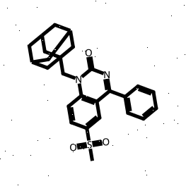 CS(=O)(=O)c1ccc2c(c1)c(-c1ccccc1)nc(=O)n2CC12CC3CC(CC(C3)C1)C2